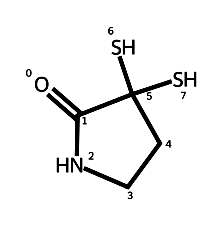 O=C1NCCC1(S)S